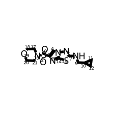 O=S(=O)(c1cn2nc(NCC3CC3)sc2n1)N1CCOCC1